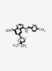 COc1cc(B2OCC(C)(C)O2)cc2c(NCc3ccc(C)nn3)ncnc12